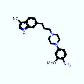 COc1cc(N2CCN(CCCc3ccc4c(C#N)c[nH]c4c3)CC2)ccc1N